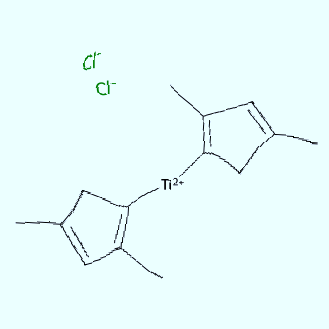 CC1=CC(C)=[C]([Ti+2][C]2=C(C)C=C(C)C2)C1.[Cl-].[Cl-]